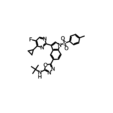 Cc1ccc(S(=O)(=O)n2cc(-c3ncc(F)c(C4CC4)n3)c3cc(-c4nnc(NC(C)(C)C)o4)ccc32)cc1